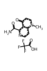 Cn1ccc(=O)c2c(C(N)=O)nccc21.O=C(O)C(F)(F)F